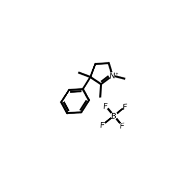 CC1=[N+](C)CCC1(C)c1ccccc1.F[B-](F)(F)F